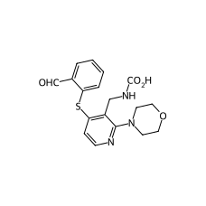 O=Cc1ccccc1Sc1ccnc(N2CCOCC2)c1CNC(=O)O